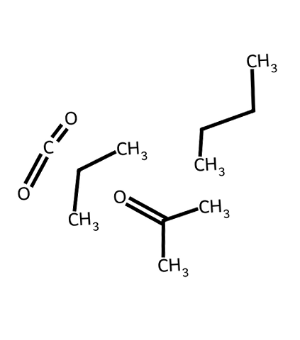 CC(C)=O.CCC.CCCC.O=C=O